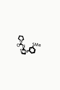 CSc1cccc(-n2ccs/c2=N\C(=O)N2CCCC2)c1